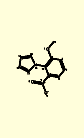 COc1cccc([N+](=O)[O-])c1-n1cccc1